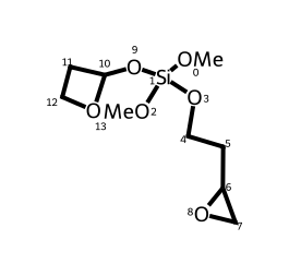 CO[Si](OC)(OCCC1CO1)OC1CCO1